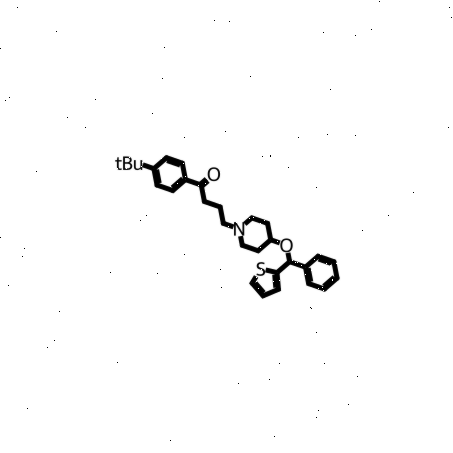 CC(C)(C)c1ccc(C(=O)CCCN2CCC(OC(c3ccccc3)c3cccs3)CC2)cc1